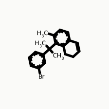 Cc1ccc2c(c1C(C)(C)c1cccc(Br)c1)CCC=C2